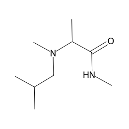 CNC(=O)C(C)N(C)CC(C)C